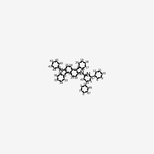 c1ccc(-c2cc(-c3ccccc3)nc(-n3c4ccccc4c4c5ccc6c(c5ccc43)c3ccccc3n6-c3ccccc3)c2)cc1